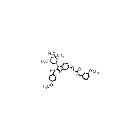 C[C@H]1C[C@H](n2c(Nc3ccc(OC(F)(F)F)cc3)nc3cc(OCC(=O)Nc4cccc(OC(F)(F)F)c4)ccc32)CC(C)(C)C1